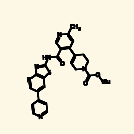 Cc1cc(C2=CCN(C(=O)OC(C)(C)C)CC2)c(C(=O)Nc2nc3ncc(-c4ccncc4)cc3s2)cn1